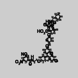 Cc1cc(OCCNC(=O)c2cc([N+](=O)[O-])cc([N+](=O)[O-])c2)ccc1-c1c2ccc(=O)cc-2oc2cc(OCc3ccc(OCC4=C(C(=O)O)N5C(=O)[C@@H](NC(=O)Cc6ccccc6)[C@H]5SC45CC5)cc3)ccc12